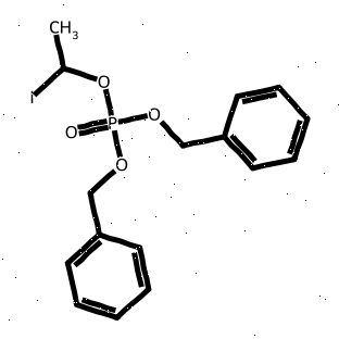 CC(I)OP(=O)(OCc1ccccc1)OCc1ccccc1